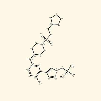 CC(C)(O)Cn1cc(-c2nc(NC3CCN(S(=O)(=O)CCN4CCCC4)CC3)ncc2C(F)(F)F)cn1